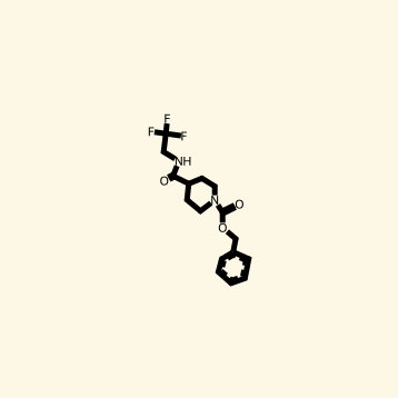 O=C(NCC(F)(F)F)C1CCN(C(=O)OCc2ccccc2)CC1